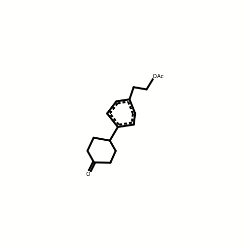 CC(=O)OCCc1ccc(C2CCC(=O)CC2)cc1